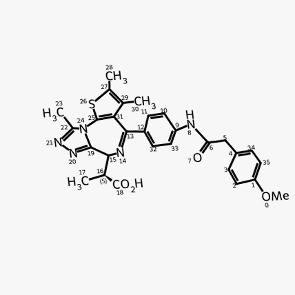 COc1ccc(CC(=O)Nc2ccc(C3=NC([C@H](C)C(=O)O)c4nnc(C)n4-c4sc(C)c(C)c43)cc2)cc1